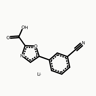 N#Cc1cccc(-c2cnc(C(=O)O)o2)c1.[Li]